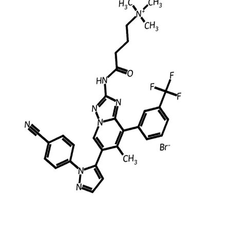 Cc1c(-c2ccnn2-c2ccc(C#N)cc2)cn2nc(NC(=O)CCC[N+](C)(C)C)nc2c1-c1cccc(C(F)(F)F)c1.[Br-]